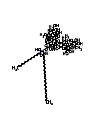 CCCCCCCCCCCCC/C=C/[C@@H](O)[C@H](CO[C@@H]1OC(CO)[C@@H](O[C@@H]2OC(CO)[C@H](O[C@@H]3OC(CO)[C@H](O)[C@H](O[C@@H]4OC(CO)[C@H](O)[C@H](O)C4O[C@H]4OC(C)[C@@H](O)C(O)[C@@H]4O)C3NC(C)=O)[C@H](O[C@]3(C(=O)O)CC(O)[C@@H](NC(C)=O)C([C@H](O)[C@H](O)CO)O3)C2O)[C@H](O)C1O)NC(=O)CCCCCCCCCCCCCCCCCCCCCCCCC